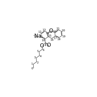 CCCCCCCOC(=O)c1cccc2c1Cc1ccccc1O2.[Na]